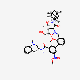 COc1c(CN2O[C@@H](CO)[C@H]([C@H](C)O)[C@H]2C(=O)N[C@H]2C[C@H]3C[C@@H]([C@@H]2C)C3(C)C)cccc1-c1cc(C(=O)N[C@H](Cc2ccccc2)CN(C)C)cc([N+](=O)OC)c1